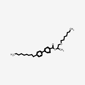 CCCCCCCCCc1ccc(-c2ccc(C(=O)OC(C)COCCCCCCC)cc2)cc1